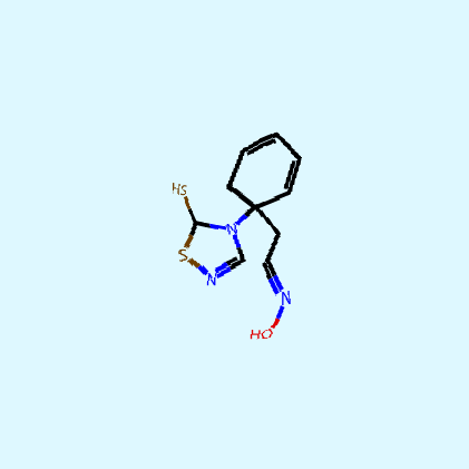 ON=CCC1(N2C=NSC2S)C=CC=CC1